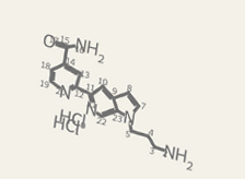 Cl.Cl.NCCCn1ccc2cc(-c3cc(C(N)=O)ccn3)ncc21